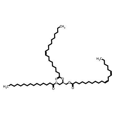 CCCCC/C=C\C/C=C\CCCCCCCCCC(=O)OC[C@@H](COC(=O)CCCCCCCCCCCCCC)OC(=O)CCCCCCC/C=C\CCCCCCCCC